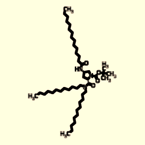 CCCCCCCCCCCCCCC(=O)N[C@H]1C[C@@H](C(=O)N(CCCCCCCCCCCC)CCCCCCCCCCCC)N(C(=O)OC(C)(C)C)C1